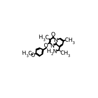 COc1ccc(COc2nc3c([C@@H](C)N)cc(C)cn3c(=O)c2C)cc1